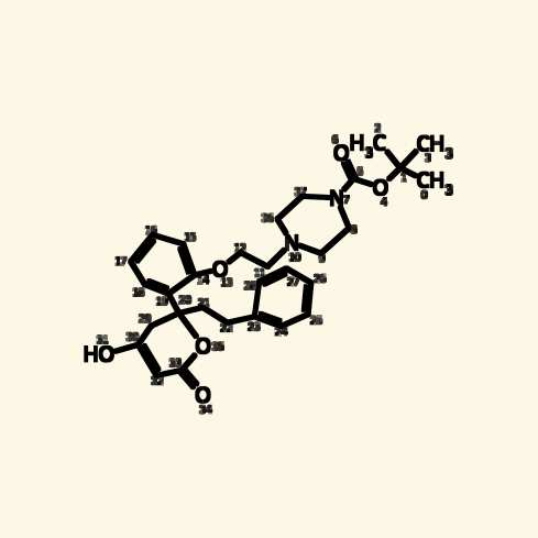 CC(C)(C)OC(=O)N1CCN(CCOc2ccccc2C2(CCc3ccccc3)CC(O)=CC(=O)O2)CC1